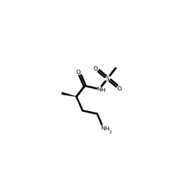 C[C@H](CCN)C(=O)NS(C)(=O)=O